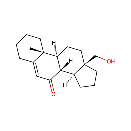 C[C@]12CCCCC1=CC(=O)[C@H]1[C@@H]3CCC[C@@]3(CO)CC[C@@H]12